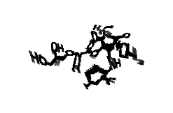 Cn1c(Nc2ccc(I)cc2F)c(OC(=O)NOC[C@@H](O)CO)c(=O)n(C)c1=O